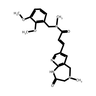 COc1cccc(CN(C)C(=O)/C=C/c2cnc3c(c2)CN(C)CC(=O)N3)c1OC